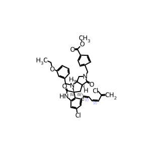 C=C(Cl)/C=C\C=C(/F)[C@H]1[C@@H]2C(=O)N(Cc3ccc(C(=O)OC)cc3)C[C@@H]2N(Cc2cccc(OCC)c2)[C@@]12C(=O)Nc1cc(Cl)ccc12